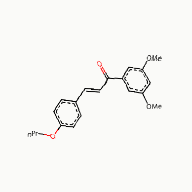 CCCOc1ccc(C=CC(=O)c2cc(OC)cc(OC)c2)cc1